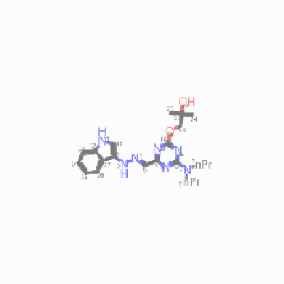 CCCN(CCC)c1nc(/C=N/Nc2c[nH]c3ccccc23)nc(OCC(C)(C)O)n1